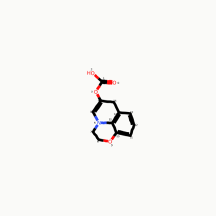 O=C(O)OC1=CN2CCOc3cccc(c32)C1